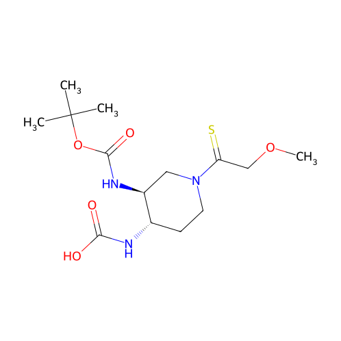 COCC(=S)N1CC[C@H](NC(=O)O)[C@@H](NC(=O)OC(C)(C)C)C1